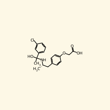 C[C@@H](Cc1ccc(OCC(=O)O)cc1)NC(C)(O)c1cccc(Cl)c1